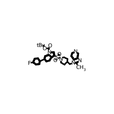 Cc1nc2cnccc2n1CC1CCN(S(=O)(=O)c2cn(C(=O)OC(C)(C)C)c3cc(-c4ccc(F)cc4)ccc23)CC1